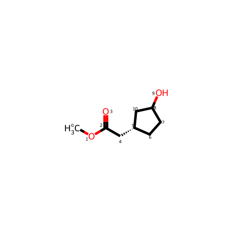 COC(=O)C[C@H]1CCC(O)C1